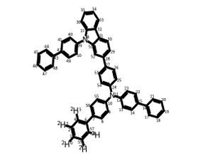 [2H]c1c([2H])c([2H])c(-c2ccc(N(c3ccc(-c4ccccc4)cc3)c3ccc(-c4ccc5c6ccccc6n(-c6ccc(-c7ccccc7)cc6)c5c4)cc3)cc2)c([2H])c1[2H]